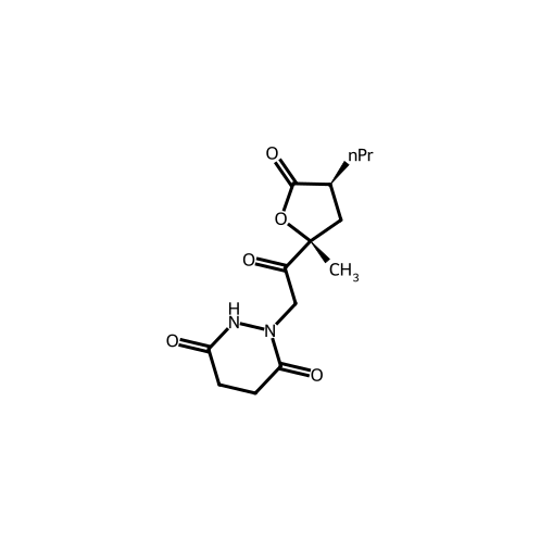 CCC[C@H]1C[C@](C)(C(=O)CN2NC(=O)CCC2=O)OC1=O